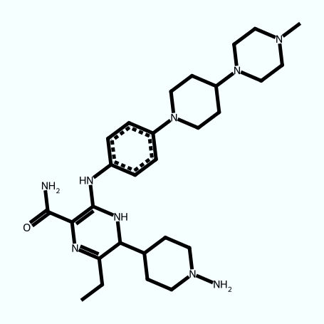 CCC1=NC(C(N)=O)=C(Nc2ccc(N3CCC(N4CCN(C)CC4)CC3)cc2)NC1C1CCN(N)CC1